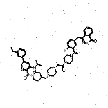 CCc1cccc(-c2cnc(C(=O)N3CCC(CN4CCN(CC(=O)N5CCN(C(=O)c6cc(Cc7n[nH]c(=O)c8ccccc78)ccc6F)CC5)CC4)CC3)c(NC(C)C)c2)c1